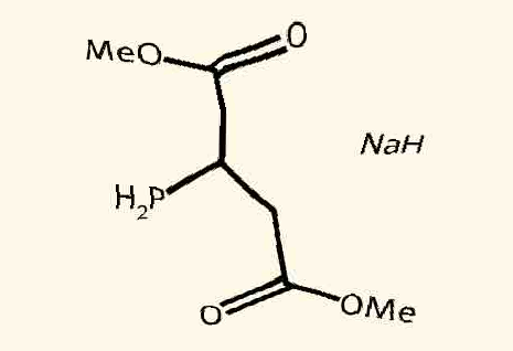 COC(=O)CC(P)C(=O)OC.[NaH]